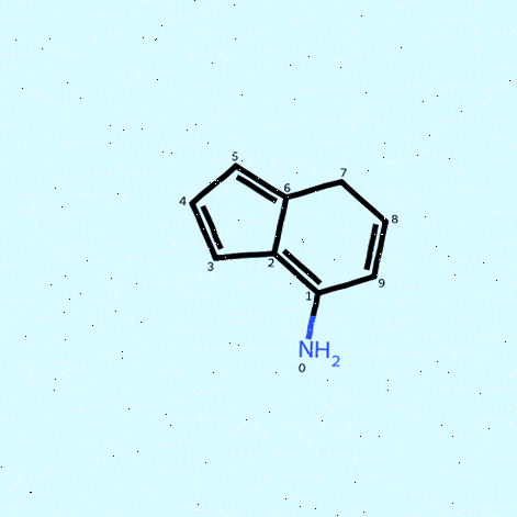 NC1=C2C=CC=C2CC=C1